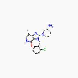 Cc1cn(C)c(=O)c2c1nc(N1CCC[C@@H](N)C1)n2Cc1ccccc1Cl